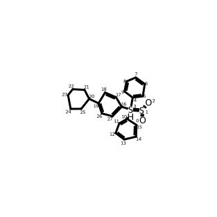 O=S(=O)=[SH](c1ccccc1)(c1ccccc1)c1ccc(C2CCCCC2)cc1